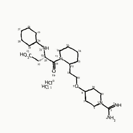 Cl.Cl.N=C(N)N1CCC(OCCC2CCCCN2C(=O)[C@H](CC(=O)O)NC2CCCCC2)CC1